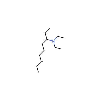 CC[CH]CCCC(CC)N(CC)CC